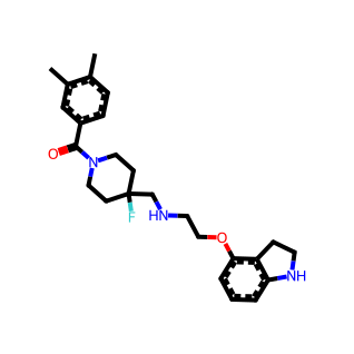 Cc1ccc(C(=O)N2CCC(F)(CNCCOc3cccc4c3CCN4)CC2)cc1C